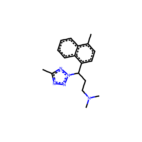 Cc1nnn(C(CCN(C)C)c2ccc(C)c3ccccc23)n1